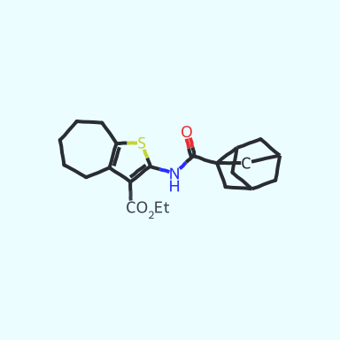 CCOC(=O)c1c(NC(=O)C23CC4CC(CC2C4)C3)sc2c1CCCCC2